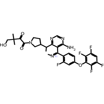 C/N=C(/c1ccc(Oc2c(F)c(F)cc(F)c2F)cc1F)c1c(N)ncnc1C(C)C1CCN(C(=O)C(=O)C(C)(C)CO)C1